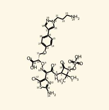 CC1(C)C(NC(=O)/C(=N\O[C@@H](COc2ccc(-c3cnn(CCCN)c3)cc2)C(=O)O)c2nc(N)sc2Cl)C(=O)N1OS(=O)(=O)O